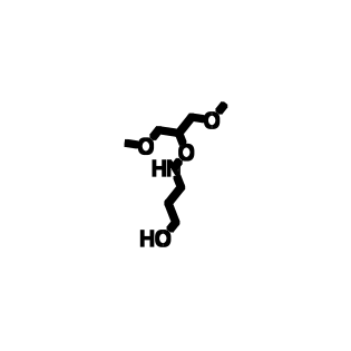 COCC(COC)ONCCCO